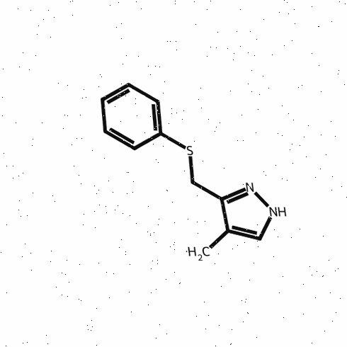 [CH2]c1c[nH]nc1CSc1ccccc1